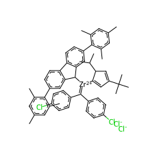 Cc1cc(C)c(-c2ccc3c(c2)[CH]([Zr+2]([C]2=CC(C(C)(C)C)=CC2C(C)C)=[C](c2ccc(Cl)cc2)c2ccc(Cl)cc2)c2cc(-c4c(C)cc(C)cc4C)ccc2-3)c(C)c1.[Cl-].[Cl-]